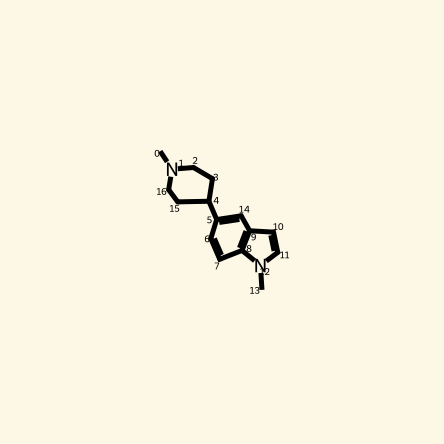 CN1CCC(c2ccc3c(ccn3C)c2)CC1